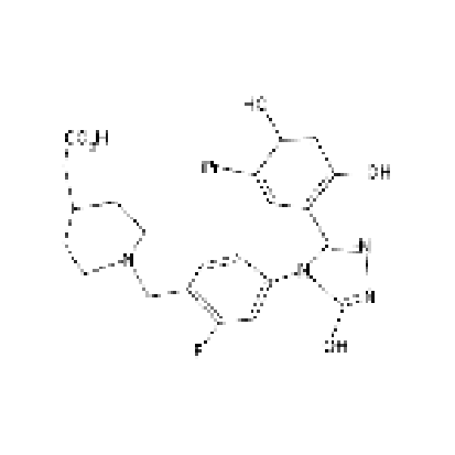 CC(C)c1cc(-c2nnc(O)n2-c2ccc(CN3CCC(CC(=O)O)CC3)c(F)c2)c(O)cc1O